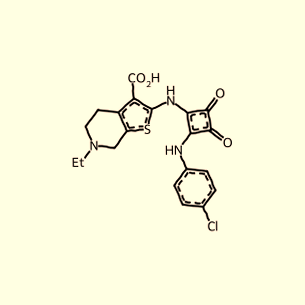 CCN1CCc2c(sc(Nc3c(Nc4ccc(Cl)cc4)c(=O)c3=O)c2C(=O)O)C1